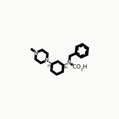 CN1CCN([C@H]2CCC[C@@H](N(Cc3ccccc3)C(=O)O)C2)CC1